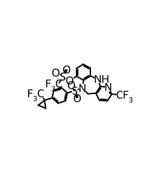 O=S(=O)(c1ccc(C2(C(F)(F)F)CC2)cc1)N1Cc2ccc(C(F)(F)F)nc2Nc2cccc(OS(=O)(=O)C(F)(F)F)c21